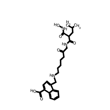 CC(C)CC(C(=O)NO)C(=O)NCC(=O)CCCCCNCc1ccc(C(=O)O)c2ccccc12